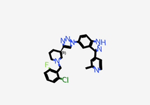 Cc1cc(-c2n[nH]c3ccc(-n4cc([C@@H]5CCCN(Cc6c(F)cccc6Cl)C5)nn4)cc23)ccn1